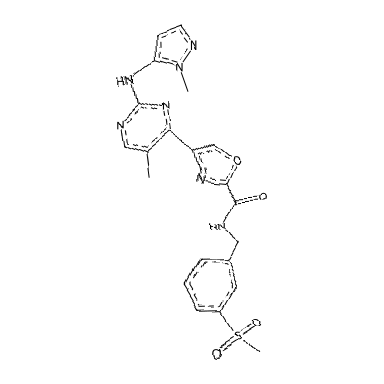 Cc1cnc(Nc2ccnn2C)nc1-c1coc(C(=O)NCc2cccc(S(C)(=O)=O)c2)n1